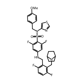 COc1ccc(CN(c2cscn2)S(=O)(=O)c2c(F)cc(NCc3c(F)ccc(F)c3CN3C4CCC3CC4)cc2F)cc1